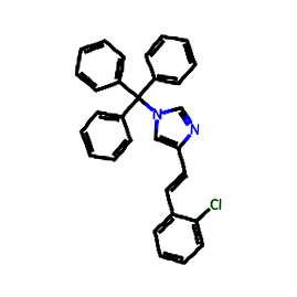 Clc1ccccc1/C=C/c1cn(C(c2ccccc2)(c2ccccc2)c2ccccc2)cn1